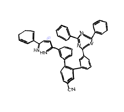 N#Cc1ccc(-c2cccc(C(=N)/C=C\C(=N)C3=CCCC=C3)c2)c(-c2cccc(-c3nc(-c4ccccc4)nc(-c4ccccc4)n3)c2)c1